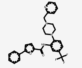 O=C(Nc1cc(C(F)(F)F)ccc1N1CCN(Cc2ccccn2)CC1)c1ccc(-c2ccccc2)o1